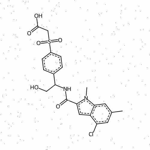 Cc1cc(Cl)c2cc(C(=O)NC(CO)c3ccc(S(=O)(=O)CC(=O)O)cc3)n(C)c2c1